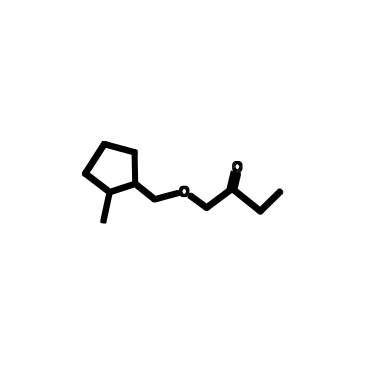 CCC(=O)COCC1CCCC1C